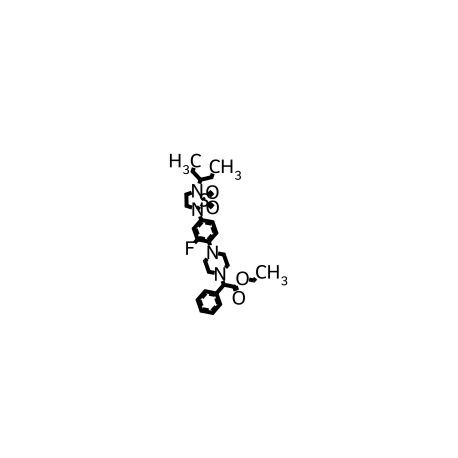 CCOC(=O)C(c1ccccc1)N1CCN(c2ccc(N3CCN(C(CC)CC)S3(=O)=O)cc2F)CC1